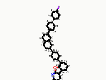 Ic1ccc(-c2ccc(-c3ccc4ccc(-c5ccc(-c6cccc7c6oc6ncccc67)cc5)cc4c3)cc2)cc1